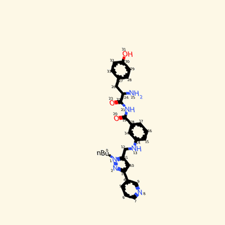 CCCCn1nc(-c2cccnc2)cc1CNc1cccc(C(=O)NC(=O)C(N)Cc2ccc(O)cc2)c1